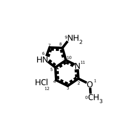 COc1ccc2[nH]cc(N)c2n1.Cl